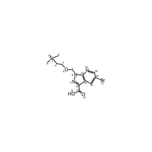 C[Si](C)(C)CCOCn1nc(C(=O)O)c2cc(Br)cnc21